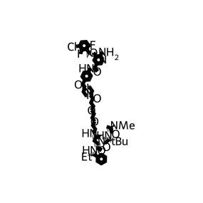 CC[C@H](NC(=O)[C@H]1C[C@@H](NCCOCCOCCC(=O)N2CCN(C(=O)c3ccc(NC(=O)c4cnc(N)c(O[C@H](C)c5c(F)ccc(Cl)c5F)c4)cc3)CC2)CN1C(=O)[C@H](NC(=O)[C@@H](C)NC)C(C)(C)C)c1ccccc1